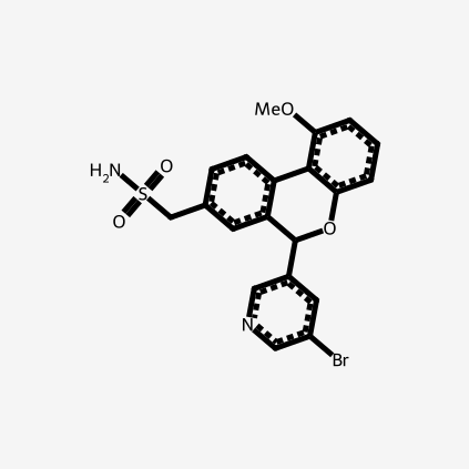 COc1cccc2c1-c1ccc(CS(N)(=O)=O)cc1C(c1cncc(Br)c1)O2